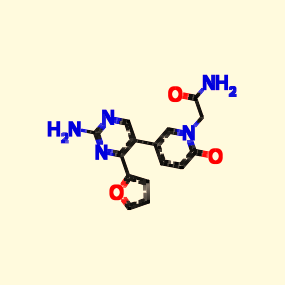 NC(=O)Cn1cc(-c2cnc(N)nc2-c2ccco2)ccc1=O